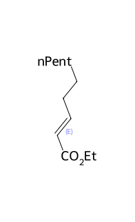 CCCCCCC/C=C/C(=O)OCC